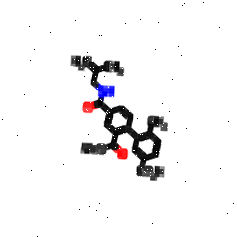 C=C(C)CNC(=O)c1ccc(-c2cc(C(=O)O)ccc2C)c(C(=O)OC)c1